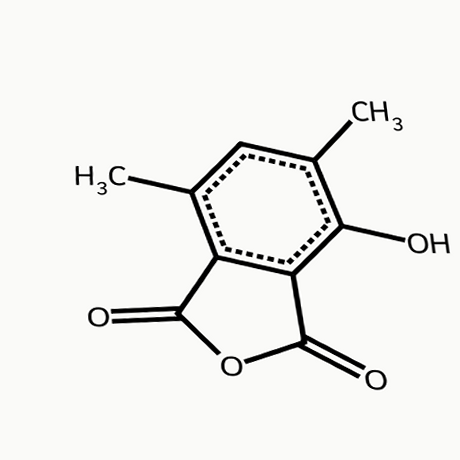 Cc1cc(C)c2c(c1O)C(=O)OC2=O